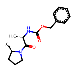 C[C@H](NC(=O)OCc1ccccc1)C(=O)N1CCC[C@H]1C